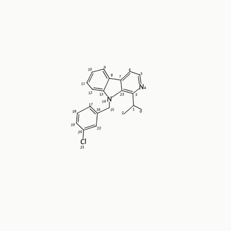 CC(C)c1nccc2c3ccccc3n(Cc3cccc(Cl)c3)c12